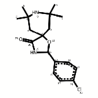 CC1(C)CC2(CC(C)(C)N1)OC(c1ccc(Cl)cc1)NC2=O